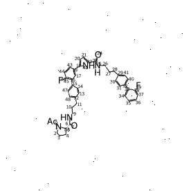 CC(=O)N1CCC[C@H]1C(=O)NCCCc1ccc(-c2cc(-c3ccc(C(=O)NCCCc4ccc(-c5ccccc5F)cc4)[nH]3)ccc2F)cc1